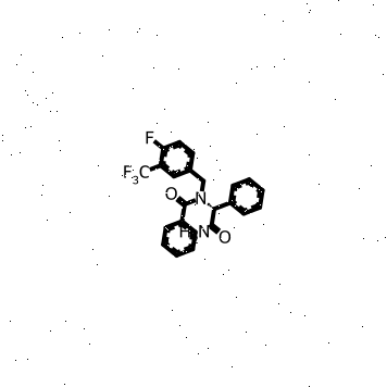 NC(=O)[C@@H](c1ccccc1)N(Cc1ccc(F)c(C(F)(F)F)c1)C(=O)c1ccccc1